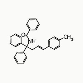 Cc1ccc(C=CCC(NC(=O)c2ccccc2)(c2ccccc2)c2ccccc2)cc1